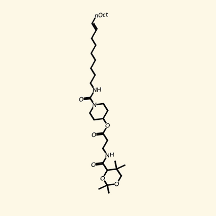 CCCCCCCCC=CCCCCCCCNC(=O)N1CCC(OC(=O)CCNC(=O)C2OC(C)(C)OCC2(C)C)CC1